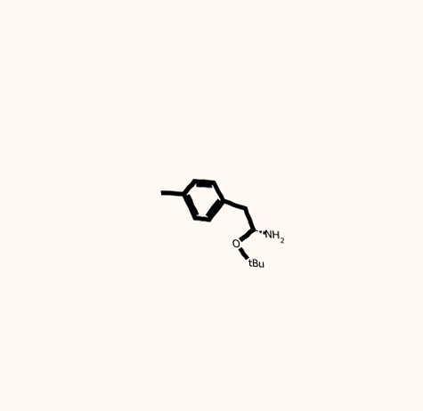 Cc1ccc(C[C@H](N)OC(C)(C)C)cc1